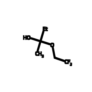 CCC(C)(O)OCC(F)(F)F